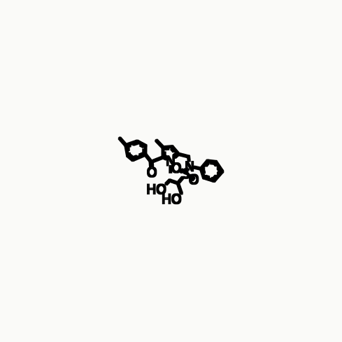 Cc1ccc(C(=O)c2c(C)cc(CN(c3ccccc3)S(=O)(=O)C(CO)CO)n2C)cc1